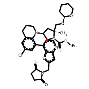 CC(C)(C)OC(=O)N1C[C@@H](N2CCCc3cc(Cl)cc(-c4ccnc5cc(CN6C(=O)CCC6=O)sc45)c32)C[C@@]1(C)CO[C@H]1CCCCO1